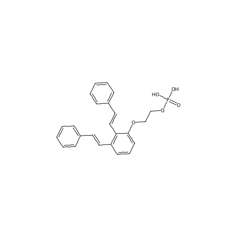 O=P(O)(O)OCCOc1cccc(C=Cc2ccccc2)c1C=Cc1ccccc1